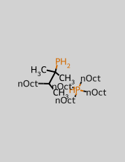 CCCCCCCCC(C)C(C)(C)P.CCCCCCCC[PH](CCCCCCCC)(CCCCCCCC)CCCCCCCC